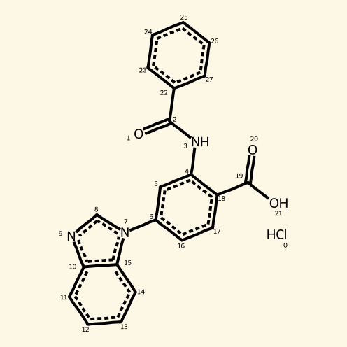 Cl.O=C(Nc1cc(-n2cnc3ccccc32)ccc1C(=O)O)c1ccccc1